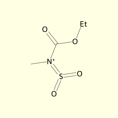 CCOC(=O)[N+](C)=S(=O)=O